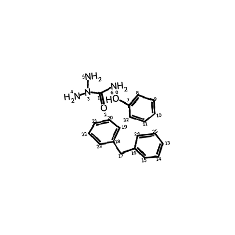 NC(=O)N(N)N.Oc1ccccc1.c1ccc(Cc2ccccc2)cc1